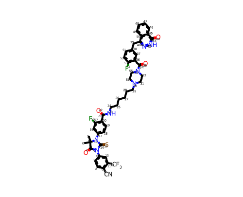 CC1(C)C(=O)N(c2ccc(C#N)c(C(F)(F)F)c2)C(=S)N1c1ccc(C(=O)NCCCCCCN2CCN(C(=O)c3cc(Cc4n[nH]c(=O)c5ccccc45)ccc3F)CC2)c(F)c1